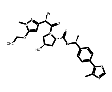 Cc1ncsc1-c1ccc([C@H](C)NC(=O)[C@@H]2C[C@@H](O)CN2C(=O)[C@@H](c2cc(OCC=O)n(C)n2)C(C)C)cc1